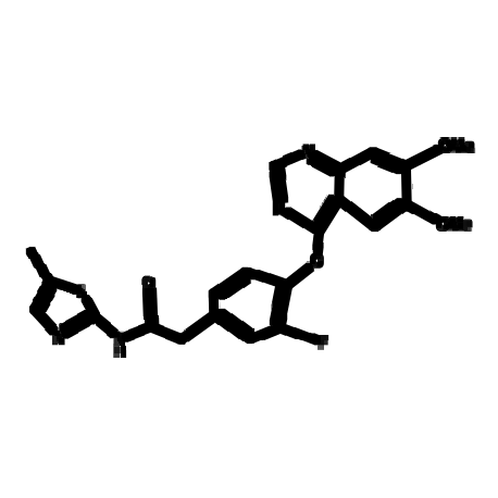 COc1cc2ncnc(Oc3ccc(CC(=O)Nc4ncc(C)s4)cc3F)c2cc1OC